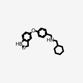 B1OCc2cc(Oc3ccc(CNCC4CCCCC4)cc3)ccc21